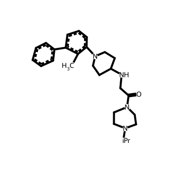 Cc1c(-c2ccccc2)cccc1N1CCC(NCC(=O)N2CCN(C(C)C)CC2)CC1